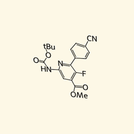 COC(=O)c1cc(NC(=O)OC(C)(C)C)nc(-c2ccc(C#N)cc2)c1F